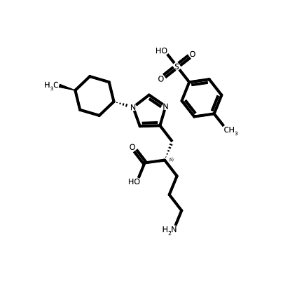 C[C@H]1CC[C@H](n2cnc(C[C@H](CCCN)C(=O)O)c2)CC1.Cc1ccc(S(=O)(=O)O)cc1